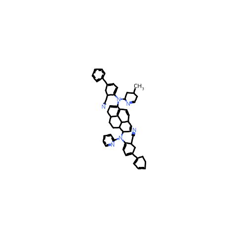 CC1CC=NC(N(C2=CCC3CCC4C5C3=C2C=CC5C=CC4N(C2=CC=C(C3=CC=CCC3)CC2C#N)c2ccccn2)C2=CC=C(c3ccccc3)CC2C#N)C1